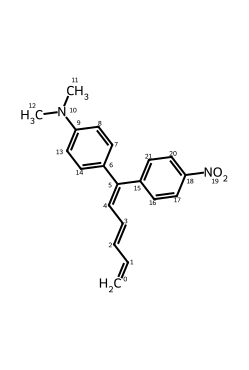 C=CC=CC=C(c1ccc(N(C)C)cc1)c1ccc([N+](=O)[O-])cc1